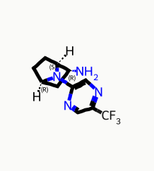 N[C@@H]1C[C@H]2CC[C@@H]1N2c1cnc(C(F)(F)F)cn1